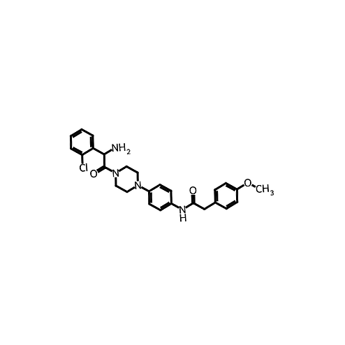 COc1ccc(CC(=O)Nc2ccc(N3CCN(C(=O)C(N)c4ccccc4Cl)CC3)cc2)cc1